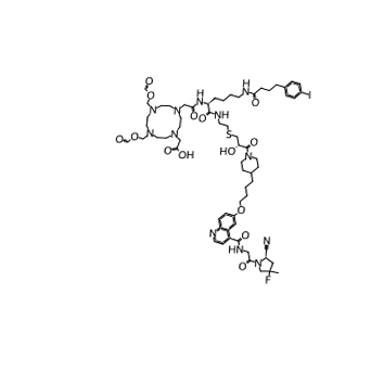 CC1(F)C[C@H](C#N)N(C(=O)CNC(=O)c2ccnc3ccc(OCCCCC4CCN(C(=O)[C@H](O)CSCCNC(=O)[C@H](CCCCNC(=O)CCCc5ccc(I)cc5)NC(=O)CN5CCN(COC=O)CCN(COC=O)CCN(CC(=O)O)CC5)CC4)cc23)C1